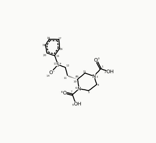 O=C(O)N1CCN(C(=O)O)[C@H](CC[S+]([O-])c2ccccc2)C1